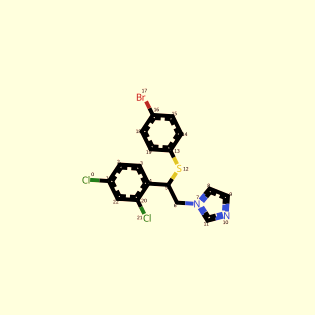 Clc1ccc(C(Cn2ccnc2)Sc2ccc(Br)cc2)c(Cl)c1